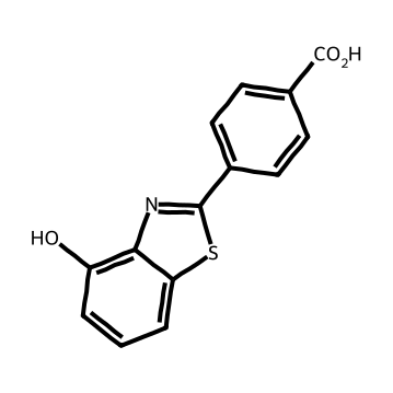 O=C(O)c1ccc(-c2nc3c(O)cccc3s2)cc1